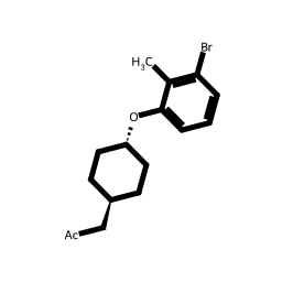 CC(=O)C[C@H]1CC[C@H](Oc2cccc(Br)c2C)CC1